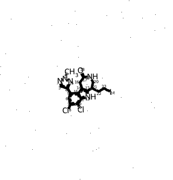 Cn1ncc(-c2cc(Cl)c(Cl)c3[nH]c4c(c23)CC(=O)NCC4CCI)n1